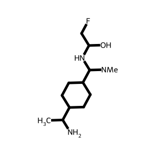 CNC(NC(O)CF)C1CCC(C(C)N)CC1